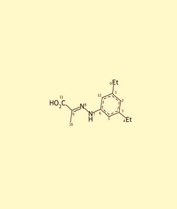 CCc1cc(CC)cc(NN=C(C)C(=O)O)c1